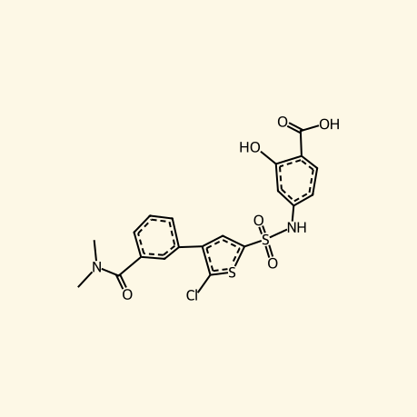 CN(C)C(=O)c1cccc(-c2cc(S(=O)(=O)Nc3ccc(C(=O)O)c(O)c3)sc2Cl)c1